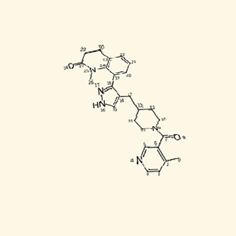 Cc1ccncc1C(=O)N1CCC(Cc2c[nH]nc2-c2cccc3c2N(C)C(=O)CC3)CC1